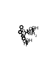 CN(C)C(CN)C1COc2c(cccc2C2CCCCC2)-c2cc3ccccc3n2C1.O=C(O)C(F)(F)F.O=C(O)C(F)(F)F